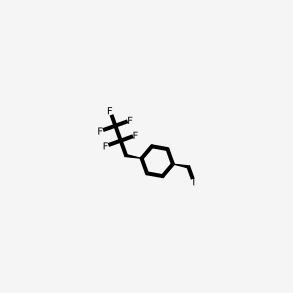 FC(F)(F)C(F)(F)C[C@H]1CC[C@@H](CI)CC1